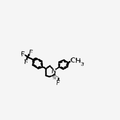 Cc1ccc(N2CC(c3ccc(C(F)(F)F)cc3)CC[C@H]2CF)cc1